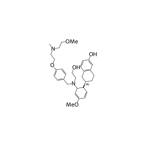 COCCN(C)CCOc1ccc(CN(CCO)C2C=C(OC)C=CC2[C@@H]2CCc3cc(O)ccc3C2)cc1